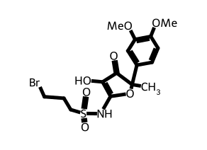 COc1ccc(C2(C)OC(NS(=O)(=O)CCCBr)=C(O)C2=O)cc1OC